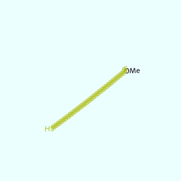 COS(=S)(=S)SSSSSSSSSSSSSSSSSSSSSSSSSSSSSSSSSSSSSSSSSSSSSSSSSSSSSSSSSSSSSSSSS